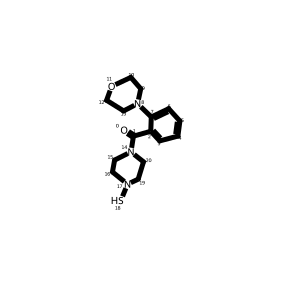 O=C(c1ccccc1N1CCOCC1)N1CCN(S)CC1